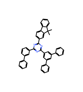 CC1(C)c2ccccc2-c2ccc(-c3nc(-c4cccc(-c5ccccc5)c4)nc(-c4cc(-c5ccccc5)cc(-c5ccccc5)c4)n3)cc21